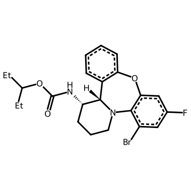 CCC(CC)OC(=O)N[C@H]1CCCN2c3c(Br)cc(F)cc3Oc3ccccc3[C@@H]12